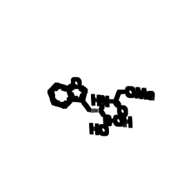 COCC(=O)N[C@@H](Cc1coc2ccccc12)B(O)O